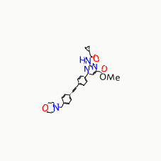 COC(=O)c1cc(-c2ccc(C#Cc3ccc(CN4CCOCC4)cc3)cc2)nc(NC(=O)C2CC2)n1